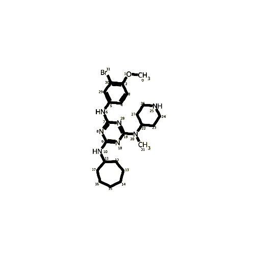 COc1ccc(Nc2nc(NC3CCCCCC3)nc(N(C)C3CCNCC3)n2)cc1Br